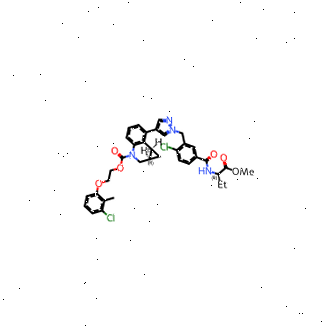 CC[C@@H](NC(=O)c1ccc(Cl)c(Cn2cc(-c3cccc4c3[C@H]3C[C@H]3CN4C(=O)OCCOc3cccc(Cl)c3C)cn2)c1)C(=O)OC